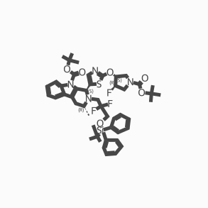 C[C@@H]1Cc2c(n(C(=O)OC(C)(C)C)c3ccccc23)[C@@H](c2cnc(O[C@H]3CN(C(=O)OC(C)(C)C)C[C@H]3F)s2)N1CC(F)(F)CO[Si](c1ccccc1)(c1ccccc1)C(C)(C)C